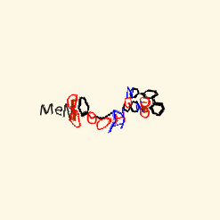 CNS(=O)(=O)c1cccc(OCC(O)CNC2COC3(CCN(S(=O)(=O)c4ccccc4-c4cccc(-c5ccncc5)c4)CC3)C2)c1